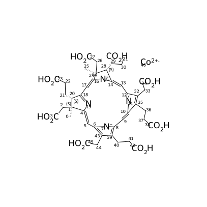 C[C@@]1(CC(=O)O)c2cc3[n-]c(cc4nc(cc5[n-]c(cc(n2)[C@H]1CCC(=O)O)[C@@](C)(CC(=O)O)[C@@H]5CCC(=O)O)C(CC(=O)O)=C4CCC(=O)O)c(CCC(=O)O)c3CC(=O)O.[Co+2]